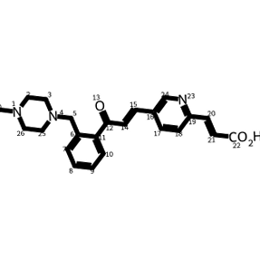 CN1CCN(Cc2ccccc2C(=O)C=Cc2ccc(C=CC(=O)O)nc2)CC1